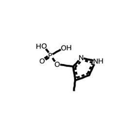 Cc1c[nH]nc1OP(=O)(O)O